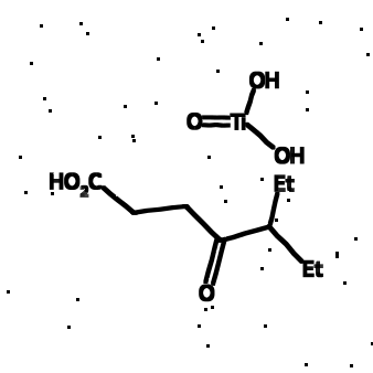 CCC(CC)C(=O)CCC(=O)O.[O]=[Ti]([OH])[OH]